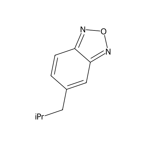 [CH2]C(C)Cc1ccc2nonc2c1